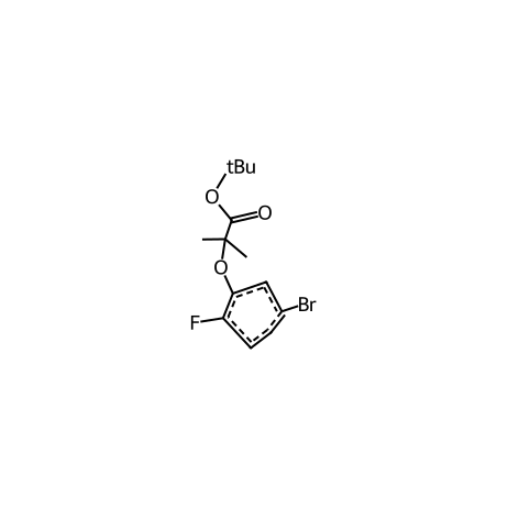 CC(C)(C)OC(=O)C(C)(C)Oc1cc(Br)ccc1F